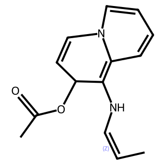 C/C=C\NC1=C2C=CC=CN2C=CC1OC(C)=O